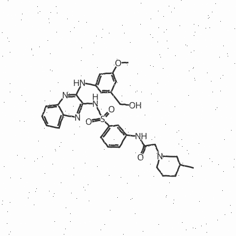 COc1cc(CO)cc(Nc2nc3ccccc3nc2NS(=O)(=O)c2cccc(NC(=O)CN3CCCC(C)C3)c2)c1